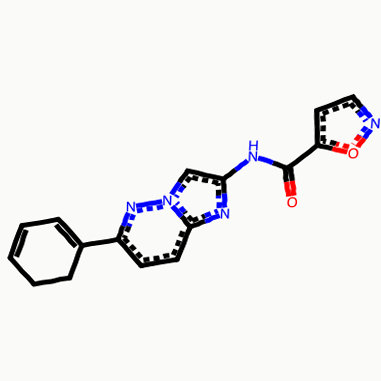 O=C(Nc1cn2nc(C3=CC=CCC3)ccc2n1)c1ccno1